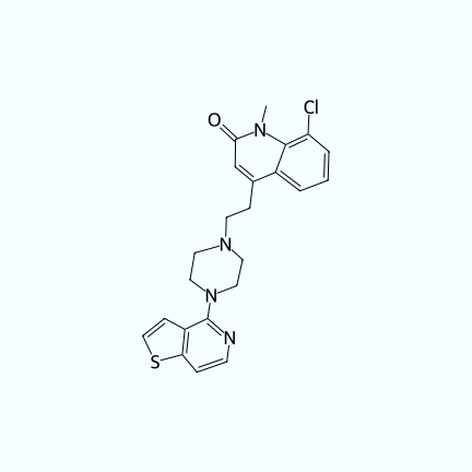 Cn1c(=O)cc(CCN2CCN(c3nccc4sccc34)CC2)c2cccc(Cl)c21